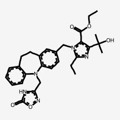 CCOC(=O)c1c(C(C)(C)O)nc(CC)n1Cc1ccc2c(c1)CCc1ccccc1N2Cc1noc(=O)[nH]1